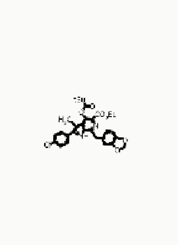 CCOC(=O)c1nc(Cc2ccc3c(c2)OCO3)c2[nH]c(-c3ccc(Cl)cc3)c(C)c2c1OC(=O)C(C)(C)C